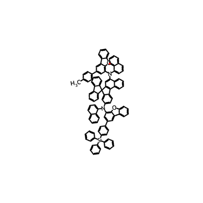 Cc1ccc(-c2cc(N(c3cccc4ccccc34)c3cc4c(c5ccccc35)-c3ccc(N(c5cccc6ccccc56)c5cc(-c6ccc([Si](c7ccccc7)(c7ccccc7)c7ccccc7)cc6)cc6c5oc5ccccc56)cc3C43c4ccccc4-c4ccccc43)c3oc4ccccc4c3c2)cc1